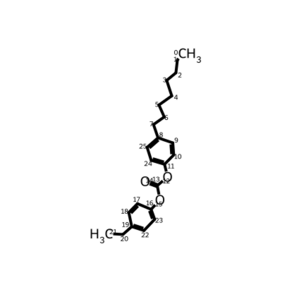 CCCCCCCCc1ccc(OC(=O)Oc2ccc(CC)cc2)cc1